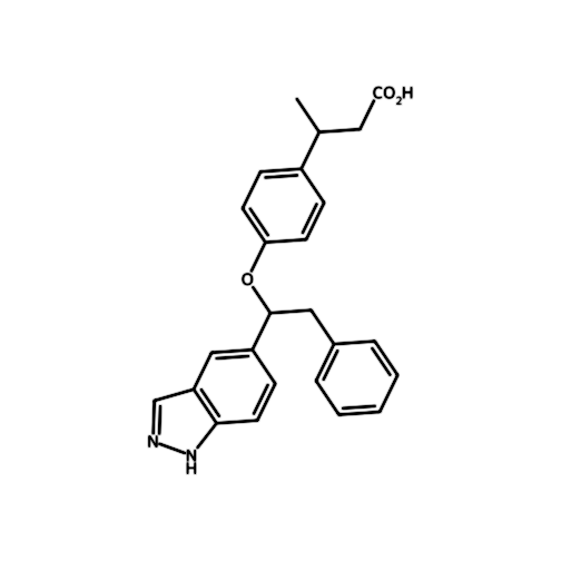 CC(CC(=O)O)c1ccc(OC(Cc2ccccc2)c2ccc3[nH]ncc3c2)cc1